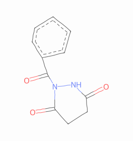 O=C1CCC(=O)N(C(=O)c2ccccc2)N1